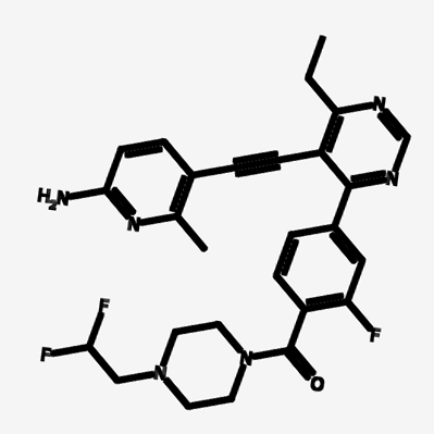 CCc1ncnc(-c2ccc(C(=O)N3CCN(CC(F)F)CC3)c(F)c2)c1C#Cc1ccc(N)nc1C